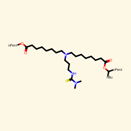 CCCCCOC(=O)CCCCCCCN(CCCCCCCC(=O)OC(CCCC)CCCCC)CCCNC(=S)N(C)C